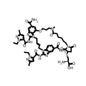 CCn1nc(C)cc1C(=O)Nc1nc2cc(C(N)=O)ccc2n1C/C=C/Cn1c(NC(=O)c2cc(C)nn2CC)nc2cc(C(N)=O)cc(OCCCN(C)C(=O)CCCCCN3C(=O)CC(SC[C@H](N)C(=O)O)C3=O)c21